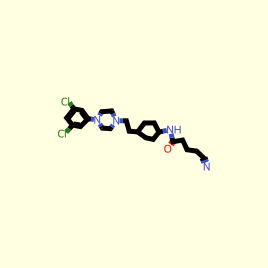 N#CCCCC(=O)NC1CCC(CCN2CCN(c3cc(Cl)cc(Cl)c3)CC2)CC1